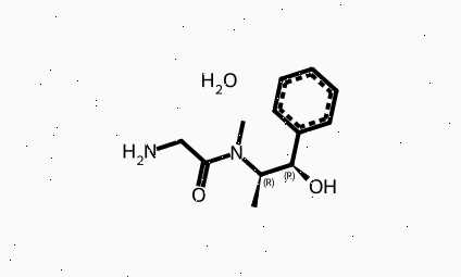 C[C@H]([C@H](O)c1ccccc1)N(C)C(=O)CN.O